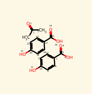 CC(C)=O.O=C(O)c1ccc(O)cc1.O=C(O)c1ccc(O)cc1